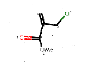 C=C(CCl)C(=O)OC